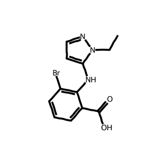 CCn1nccc1Nc1c(Br)cccc1C(=O)O